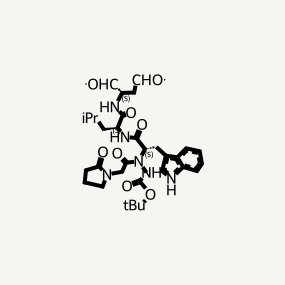 CC(C)C[C@H](NC(=O)[C@H](Cc1c[nH]c2ccccc12)N(NC(=O)OC(C)(C)C)C(=O)CN1CCCC1=O)C(=O)N[C@H]([C]=O)C[C]=O